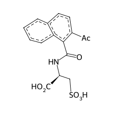 CC(=O)c1ccc2ccccc2c1C(=O)N[C@@H](CS(=O)(=O)O)C(=O)O